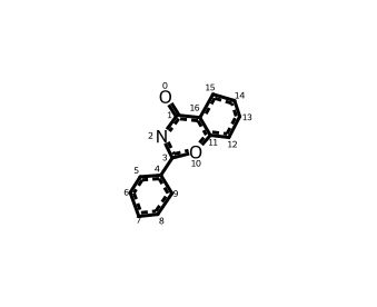 O=c1nc(-c2ccccc2)oc2ccccc12